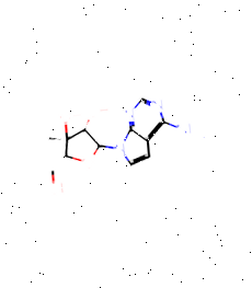 C[C@]1(O)[C@@H](CO)OC(n2ccc3c(N)ncnc32)[C@@H]1O